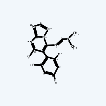 CN(C)C=Nc1c(-c2c(F)cc(F)cc2F)c(Cl)nc2ncnn12